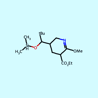 CCOC(=O)C1CC(C(O[SiH](C)C)C(C)(C)C)CN=C1OC